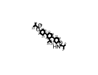 C=C(C)C(=N)Oc1ccc(-c2ccc(-c3ccc(OC(=O)C(=C)C)cc3)cc2C(=C)C)cc1